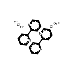 [Cl-].[Cl-].[Cl-].[Cl-].[Os+4].c1ccc(-c2ccccn2)nc1.c1ccc(-c2ccccn2)nc1